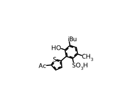 CCC(C)c1cc(C)c(S(=O)(=O)O)c(-c2ccc(C(C)=O)s2)c1O